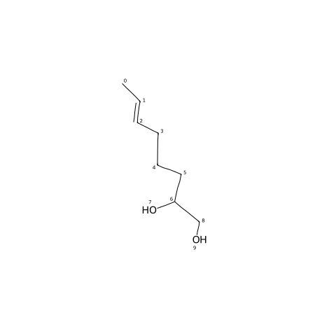 CC=CCCCC(O)CO